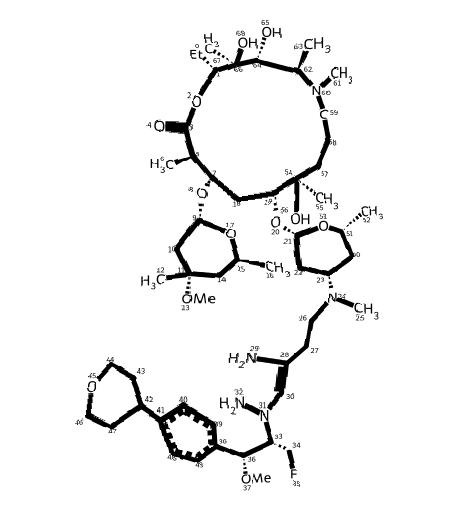 CC[C@H]1OC(=O)[C@H](C)[C@@H](O[C@H]2C[C@@](C)(OC)C[C@H](C)O2)C[C@@H](O[C@H]2C[C@@H](N(C)CC/C(N)=C/N(N)[C@H](CF)[C@H](OC)c3ccc(C4CCOCC4)cc3)C[C@@H](C)O2)[C@](C)(O)CCCN(C)[C@H](C)[C@@H](O)[C@]1(C)O